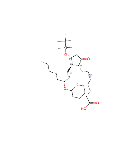 CCCCCC(/C=C/[C@H]1[C@H](O[Si](C)(C)C(C)(C)C)CC(=O)[C@@H]1C/C=C\CCCC(=O)O)OC1CCCCO1